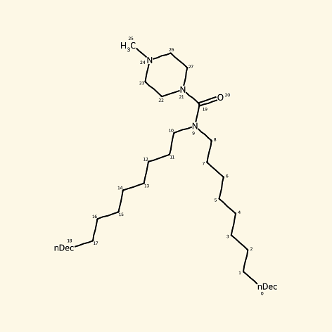 CCCCCCCCCCCCCCCCCCN(CCCCCCCCCCCCCCCCCC)C(=O)N1CCN(C)CC1